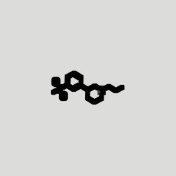 CCCN1CCCC(c2cccc(S(C)(=O)=O)c2)C1